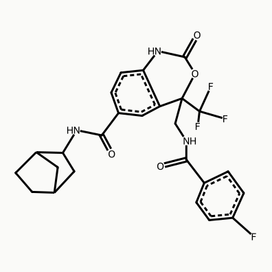 O=C1Nc2ccc(C(=O)NC3CC4CCC3C4)cc2C(CNC(=O)c2ccc(F)cc2)(C(F)(F)F)O1